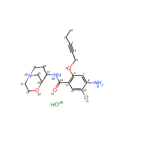 CCC#CCOc1cc(N)c(Cl)cc1C(=O)NC1CCN2CCOC1C2.Cl